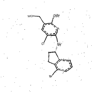 COc1nc(N[C@H]2CCc3c(Br)cccc32)c(Cl)cc1CO